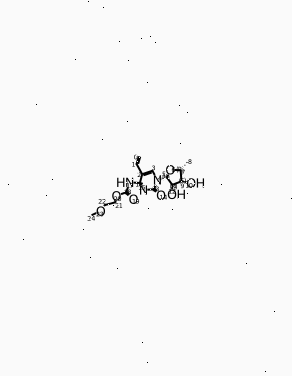 C=Cc1cn([C@@H]2O[C@H](C)[C@@H](O)[C@H]2O)c(=O)nc1NC(=O)OCCOC